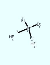 CC[N+](C)(CC)CC.F.F